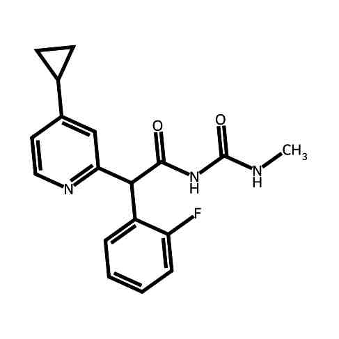 CNC(=O)NC(=O)C(c1cc(C2CC2)ccn1)c1ccccc1F